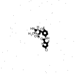 CN1C(=N)N[C@](C)(c2cc(NC(=O)c3ncc(Cl)cc3F)ccc2F)CS1(=O)=O